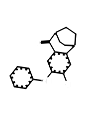 O=C1c2cc(Nc3ccccc3)c(Cl)cc2C2CCC1CC2